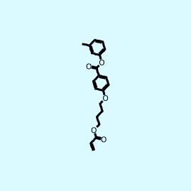 C=CC(=O)OCCCCOc1ccc(C(=O)Oc2cccc(C)c2)cc1